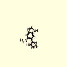 Nc1cc2nc[nH]c2cc1-c1nnn[nH]1